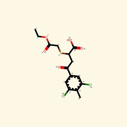 CCOC(=O)CSC(CC(=O)c1cc(Cl)c(C)c(Cl)c1)C(=O)O